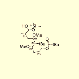 CO[C@@H](C[C@@H](C)COC(=O)C(C)(C)C)[C@@H]([C@H](C[C@@H](C)C(O)O[SiH](C)C)OC)C(C)(C)C